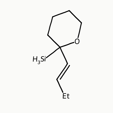 CCC=CC1([SiH3])CCCCO1